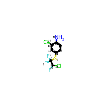 Nc1ccc(SC(F)(F)C(F)Cl)cc1Cl